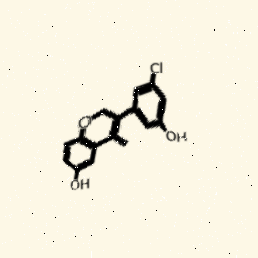 CC1=C(c2cc(O)cc(Cl)c2)COc2ccc(O)cc21